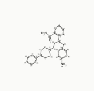 NC(=O)c1ccccc1N(CCN1CCN(c2ccccc2)CC1)Cc1ccc(N)cc1